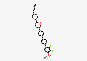 C=CCCC1CCC(C2CCC(c3ccc(-c4ccc(-c5ccc(OCCC)c(F)c5F)cc4)cc3)CO2)CC1